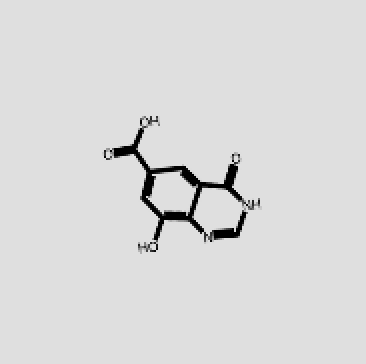 O=C(O)c1cc(O)c2nc[nH]c(=O)c2c1